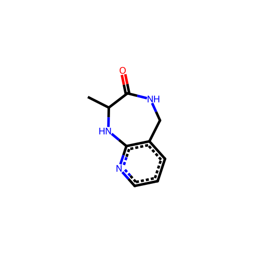 CC1Nc2ncccc2CNC1=O